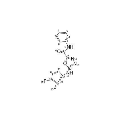 O=C(Nc1ccccc1)c1nnc(Nc2ccc(F)c(F)c2)o1